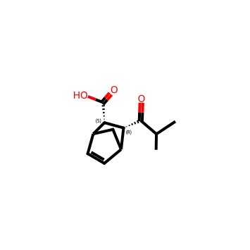 CC(C)C(=O)[C@@H]1C2C=CC(C2)[C@@H]1C(=O)O